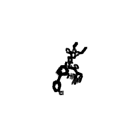 CCOC[C@]1(C(=O)OCC)C[C@](Cc2ccc(-c3cccc(Cl)c3)cc2)(NC(=O)c2cnn[nH]2)C1